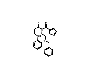 N=C(/C=C\Nc1ccccc1)N(CCNCc1ccccc1)C(=O)c1cccs1